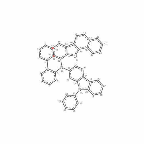 c1ccc(-c2ccccc2N(c2ccc3c4ccccc4n(-c4ccccc4)c3c2)c2cccc3c2oc2c4ccccc4ccc32)cc1